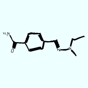 CCN(C)N=Cc1ccc(C(N)=O)cc1